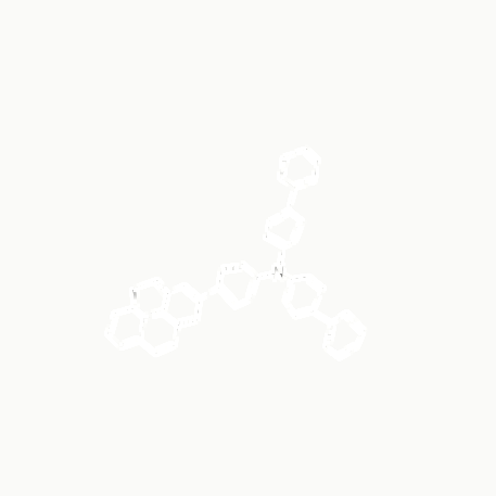 c1ccc(-c2ccc(N(c3ccc(-c4ccccc4)cc3)c3ccc(-c4cc5ccc6cccc7ccc(c4)c5c67)cc3)cc2)cc1